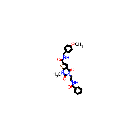 COc1ccc(CNC(=O)c2cc3c(=O)n(CCNC(=O)c4ccccc4)c(=O)n(C)c3s2)cc1